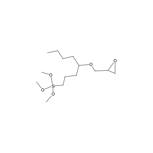 CCCCC(CCC[Si](OC)(OC)OC)OCC1CO1